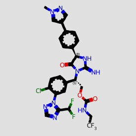 Cn1cc(-c2ccc([C@H]3NC(=N)N([C@H](COC(=O)NCC(F)(F)F)c4ccc(Cl)c(-n5ncnc5C(F)F)c4)C3=O)cc2)cn1